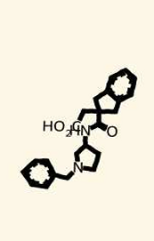 O=C(O)CC1(C(=O)NC2CCN(Cc3ccccc3)C2)Cc2ccccc2C1